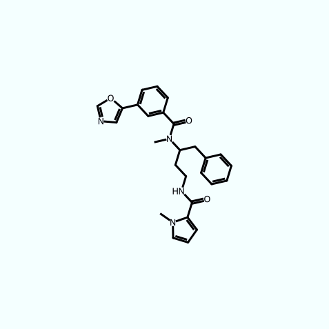 CN(C(=O)c1cccc(-c2cnco2)c1)C(CCNC(=O)c1cccn1C)Cc1ccccc1